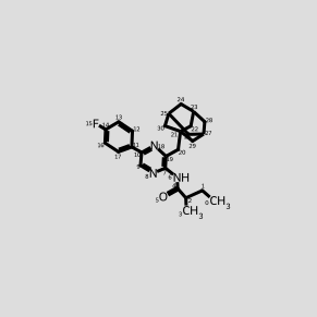 CCC(C)C(=O)Nc1ncc(-c2ccc(F)cc2)nc1CC12CC3CC(CC(C3)C1)C2